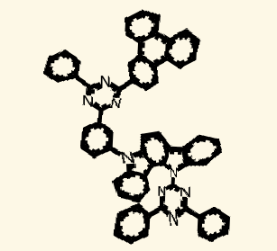 c1ccc(-c2nc(-c3cccc(-n4c5ccccc5c5c4ccc4c6ccccc6n(-c6nc(-c7ccccc7)nc(-c7ccccc7)n6)c45)c3)nc(-c3ccc4c5ccccc5c5ccccc5c4c3)n2)cc1